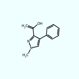 C=C(O)c1nn(C)cc1-c1ccccc1